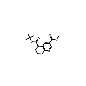 COC(=O)c1cnc2c(c1)N(C(=O)OC(C)(C)C)CCC2